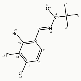 CC(C)(C)[S+]([O-])/N=C/c1ccc(Cl)c(F)c1Br